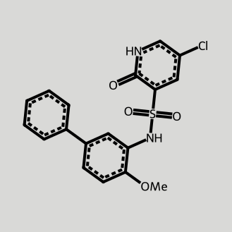 COc1ccc(-c2ccccc2)cc1NS(=O)(=O)c1cc(Cl)c[nH]c1=O